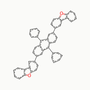 c1ccc(-c2c3ccc(-c4ccc5oc6ccccc6c5c4)cc3c(-c3ccccc3)c3ccc(-c4ccc5oc6ccccc6c5c4)cc23)cc1